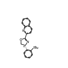 CC(C)(C)c1ccccc1[C@@H]1COC(c2ccc3ccccc3n2)=N1